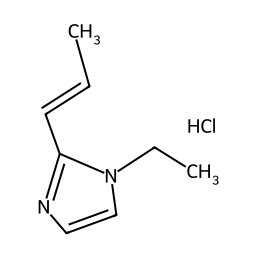 CC=Cc1nccn1CC.Cl